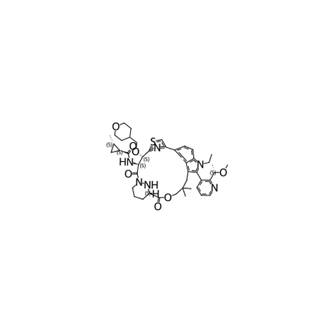 CCn1c(-c2cccnc2[C@H](C)OC)c2c3cc(ccc31)-c1csc(n1)[C@@H](OCC1CCOCC1)[C@H](NC(=O)[C@H]1C[C@@H]1C)C(=O)N1CCC[C@H](N1)C(=O)OCC(C)(C)C2